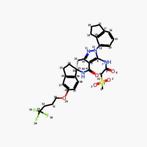 CS(=O)(=O)CC(=O)Nc1c2c(nn1-c1cccc3c1CCC3)C[C@]1(CCc3cc(OCCCC(F)(F)F)ccc31)NC2=O